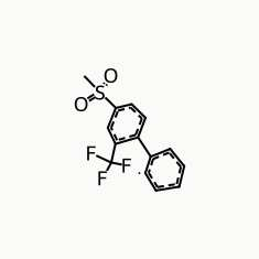 CS(=O)(=O)c1ccc(-c2[c]cccc2)c(C(F)(F)F)c1